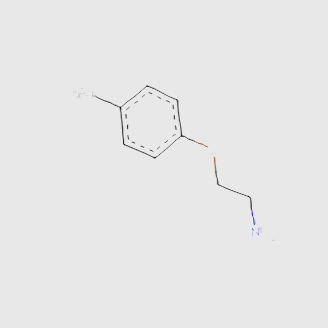 CCCCc1ccc(SCCN)cc1